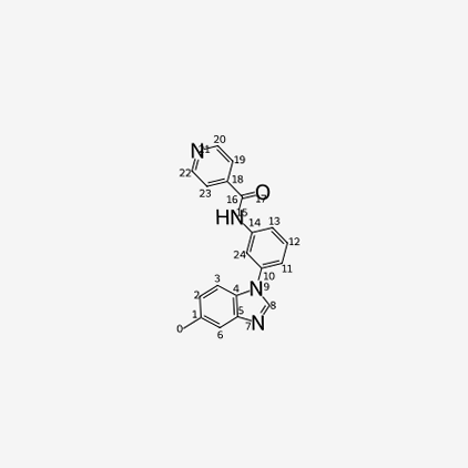 Cc1ccc2c(c1)ncn2-c1cccc(NC(=O)c2ccncc2)c1